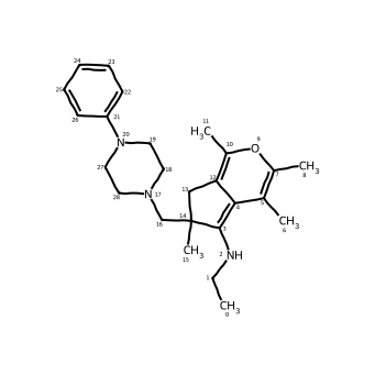 CCNC1=C2C(C)=C(C)OC(C)=C2CC1(C)CN1CCN(c2ccccc2)CC1